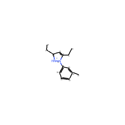 CCC1=CC(CC)NN1c1cccc(C)c1